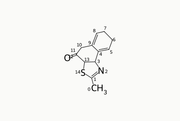 CC1=NC2C3=CCCC=C3CC(=O)C2S1